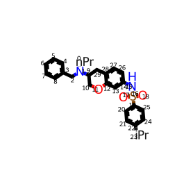 CCCN(Cc1ccccc1)C1COc2cc(NS(=O)(=O)c3ccc(C(C)C)cc3)ccc2C1